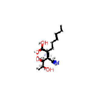 CCCCCC/C(C(=O)O)=C(\C#N)C(=O)C(C)O